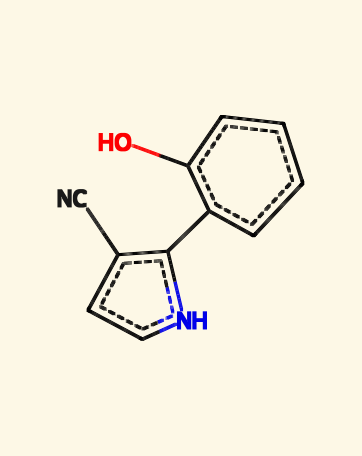 N#Cc1cc[nH]c1-c1ccccc1O